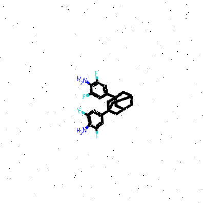 Nc1c(F)cc(C23CC4CC(C2)CC(c2cc(F)c(N)c(F)c2)(C4)C3)cc1F